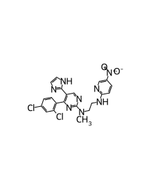 CN(CCNc1ccc([N+](=O)[O-])cn1)c1ncc(-c2ncc[nH]2)c(-c2ccc(Cl)cc2Cl)n1